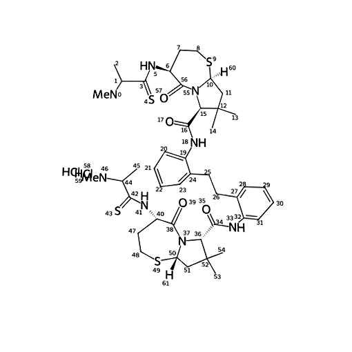 CNC(C)C(=S)N[C@H]1CCS[C@H]2CC(C)(C)[C@@H](C(=O)Nc3ccccc3CCc3ccccc3NC(=O)[C@H]3N4C(=O)[C@@H](NC(=S)C(C)NC)CCS[C@H]4CC3(C)C)N2C1=O.Cl.Cl